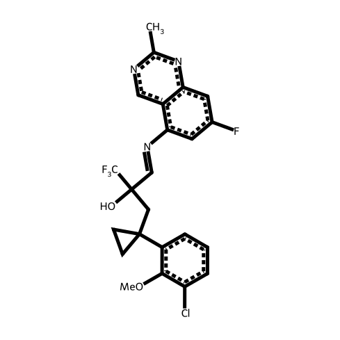 COc1c(Cl)cccc1C1(CC(O)(C=Nc2cc(F)cc3nc(C)ncc23)C(F)(F)F)CC1